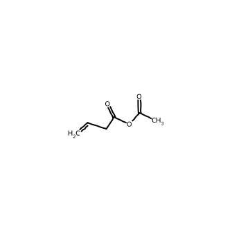 C=CCC(=O)OC(C)=O